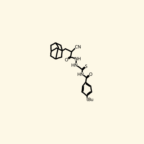 CC(C)(C)c1ccc(C(=O)NC(=S)NNC(=O)C(C#N)CC23CC4CC(CC(C4)C2)C3)cc1